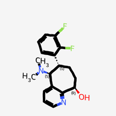 CN(C)[C@@H]1c2cccnc2[C@H](O)CC[C@H]1c1cccc(F)c1F